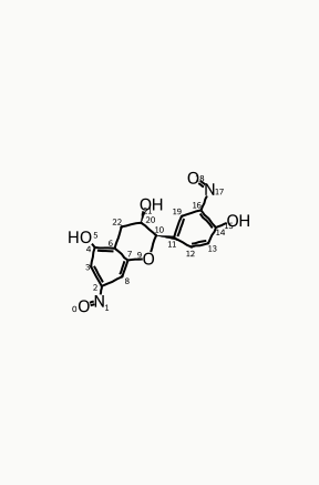 O=Nc1cc(O)c2c(c1)O[C@H](c1ccc(O)c(N=O)c1)[C@H](O)C2